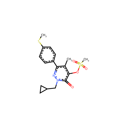 CSc1ccc(-c2nn(CC3CC3)c(=O)c(OS(C)(=O)=O)c2C)cc1